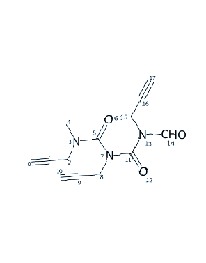 C#CCN(C)C(=O)N(CC#C)C(=O)N(C=O)CC#C